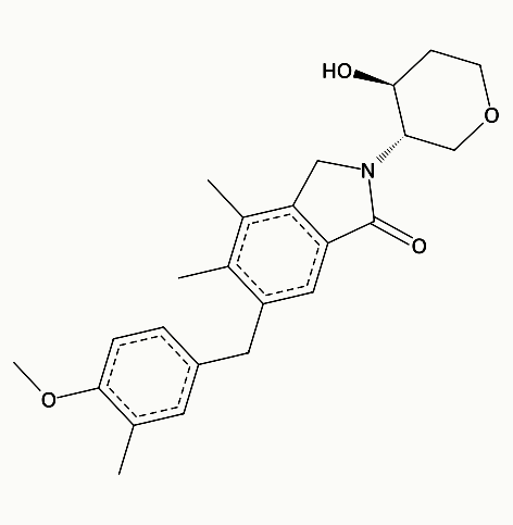 COc1ccc(Cc2cc3c(c(C)c2C)CN([C@H]2COCC[C@@H]2O)C3=O)cc1C